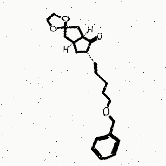 O=C1[C@H](CCCCCOCc2ccccc2)C[C@H]2CC3(C[C@@H]12)OCCO3